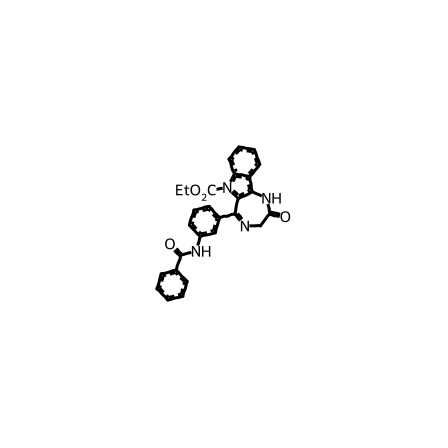 CCOC(=O)n1c2c(c3ccccc31)NC(=O)CN=C2c1cccc(NC(=O)c2ccccc2)c1